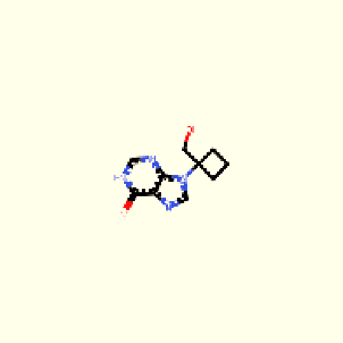 O=c1[nH]cnc2c1ncn2C1(CO)CCC1